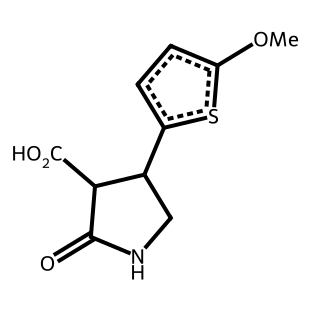 COc1ccc(C2CNC(=O)C2C(=O)O)s1